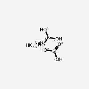 O=[Si](O)O.OB(O)O.[KH].[NaH]